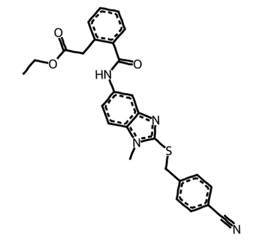 CCOC(=O)Cc1ccccc1C(=O)Nc1ccc2c(c1)nc(SCc1ccc(C#N)cc1)n2C